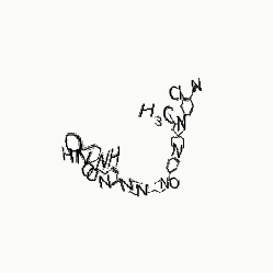 C[C@@H]1CC2(CCN(c3ccc(C(=O)N4CCC(CN5CCN(c6ccc(C(=O)N[C@@H]7CCC(=O)NC7=O)nc6)CC5)CC4)cc3)CC2)CN1c1ccc(C#N)c(Cl)c1